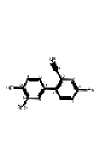 N#Cc1cc(F)ccc1-c1ccc(F)c(Br)c1